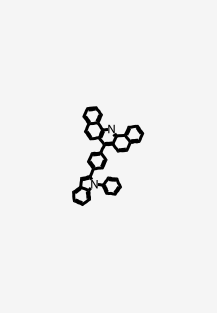 c1ccc(-n2c(-c3ccc(-c4c5ccc6ccccc6c5nc5c4ccc4ccccc45)cc3)cc3ccccc32)cc1